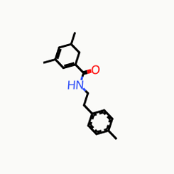 CC1=CC(C)CC(C(=O)NCCc2ccc(C)cc2)=C1